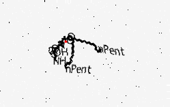 CCCCC/C=C\C/C=C\CCCCCCCCC1(CCCCCCCC/C=C\C/C=C\CCCCC)OC[C@H](C(C)(C)CC(C)(C)N(C)CCOP(=O)(O)OCCN)O1